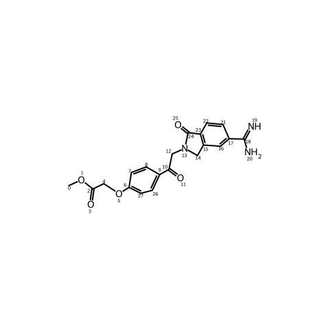 COC(=O)COc1ccc(C(=O)CN2Cc3cc(C(=N)N)ccc3C2=O)cc1